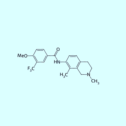 COc1ccc(C(=O)Nc2ccc3c(c2C)CN(C)CC3)cc1C(F)(F)F